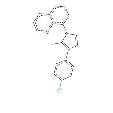 CC1=C(c2ccc(Cl)cc2)C=C[C]1c1cccc2cccnc12